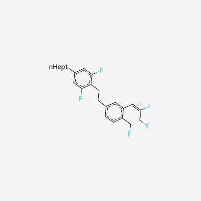 CCCCCCCc1cc(F)c(CCc2ccc(CF)c(/C=C(/F)CF)c2)c(F)c1